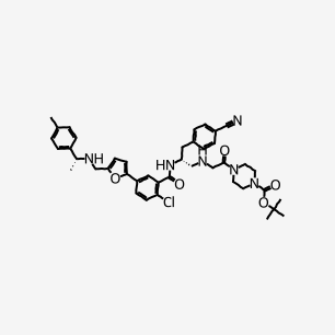 Cc1ccc([C@@H](C)NCc2ccc(-c3ccc(Cl)c(C(=O)N[C@@H](CNCC(=O)N4CCN(C(=O)OC(C)(C)C)CC4)Cc4ccc(C#N)cc4)c3)o2)cc1